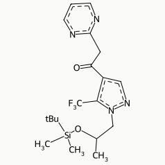 CC(Cn1ncc(C(=O)Cc2ncccn2)c1C(F)(F)F)O[Si](C)(C)C(C)(C)C